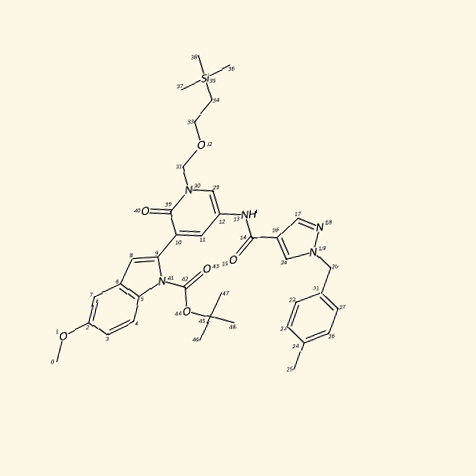 COc1ccc2c(c1)cc(-c1cc(NC(=O)c3cnn(Cc4ccc(C)cc4)c3)cn(COCC[Si](C)(C)C)c1=O)n2C(=O)OC(C)(C)C